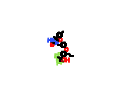 CCCc1cc(C(O)(C(F)(F)F)C(F)(F)F)ccc1Oc1cccc(CN2C(=O)NC(C)(c3ccc(C)cc3)C2=O)c1